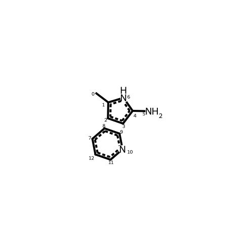 Cc1ccc(N)[nH]1.c1ccncc1